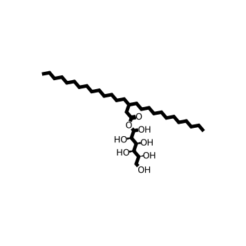 CCCCCCCCCCCCCCC(CCCCCCCCCCCC)CC(=O)OC(O)[C@H](O)[C@@H](O)[C@H](O)[C@H](O)CO